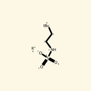 CC(C)(C)CCNS(=O)(=O)[O-].[K+]